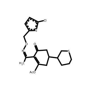 CC(=O)OC1=C(/C(C)=N\OCc2ccc(Cl)s2)C(=O)CC(C2CCCSC2)C1